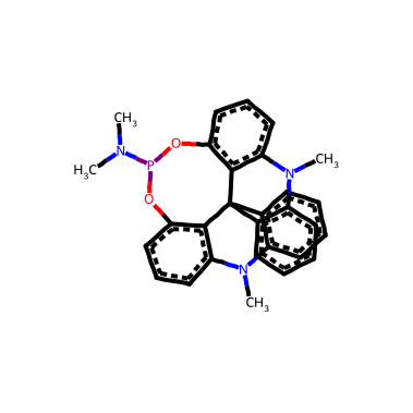 CN1c2ccccc2C23c4ccccc4N(C)c4cccc(c42)OP(N(C)C)Oc2cccc1c23